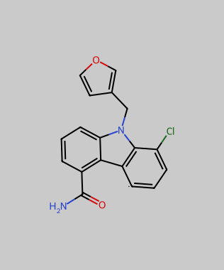 NC(=O)c1cccc2c1c1[c]ccc(Cl)c1n2Cc1ccoc1